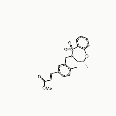 COC(=O)/C=C/c1ccc(C)c(CN2C[C@@H](C)Oc3ccccc3S2(=O)=O)c1